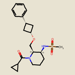 CS(=O)(=O)N[C@H]1CCCN(C(=O)C2CC2)[C@H]1CO[C@H]1C[C@@H](c2ccccc2)C1